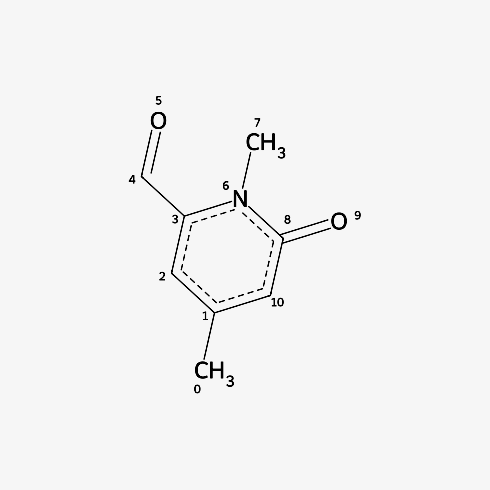 Cc1cc(C=O)n(C)c(=O)c1